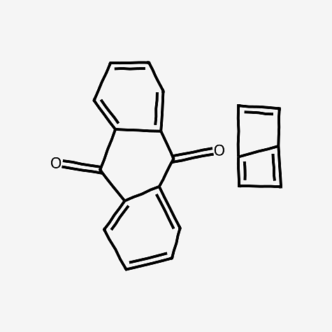 O=C1c2ccccc2C(=O)c2ccccc21.c1cc2ccc1-2